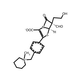 C[N+]1(Cc2ccc(C3=C(C(=O)[O-])N4C(=O)[C@@](C=O)(CCO)[C@H]4S3)cc2)CCCCC1